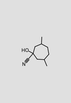 CC1CCC(C)CC(O)(C#N)C1